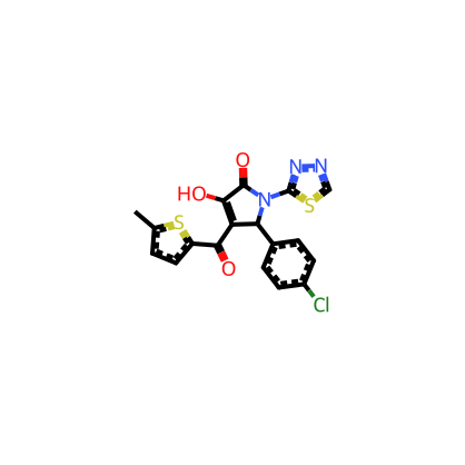 Cc1ccc(C(=O)C2=C(O)C(=O)N(c3nncs3)C2c2ccc(Cl)cc2)s1